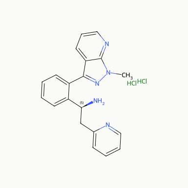 Cl.Cl.Cn1nc(-c2ccccc2[C@@H](N)Cc2ccccn2)c2cccnc21